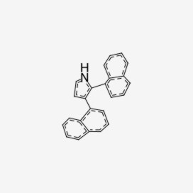 c1ccc2c(-c3cc[nH]c3-c3cccc4ccccc34)cccc2c1